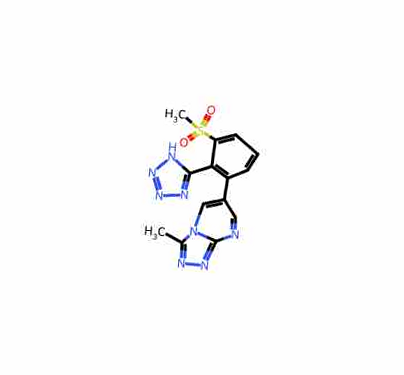 Cc1nnc2ncc(-c3cccc(S(C)(=O)=O)c3-c3nnn[nH]3)cn12